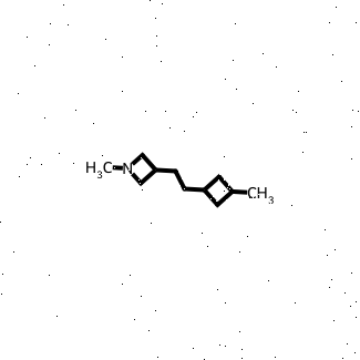 CC1CC(CCC2CN(C)C2)C1